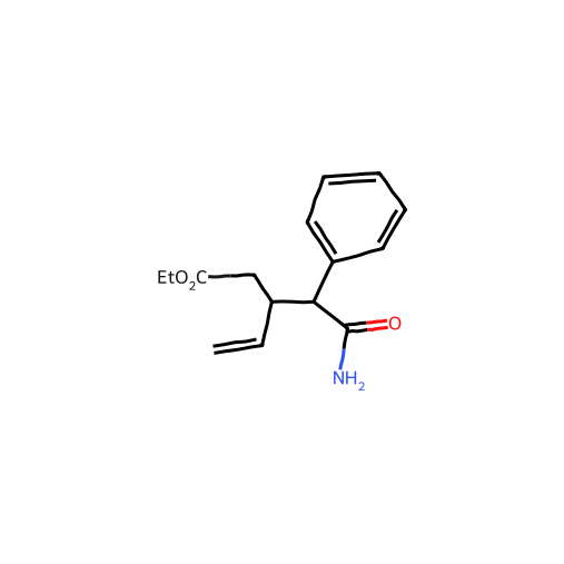 C=CC(CC(=O)OCC)C(C(N)=O)c1ccccc1